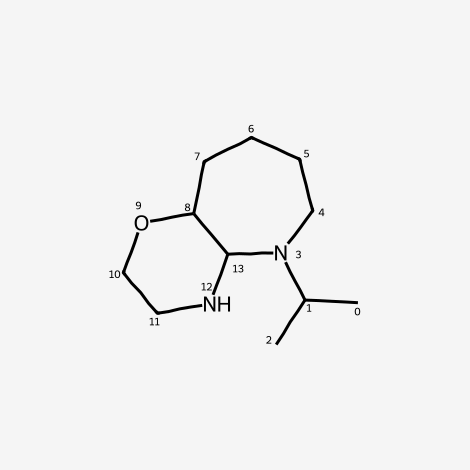 CC(C)N1CCCCC2OCCNC21